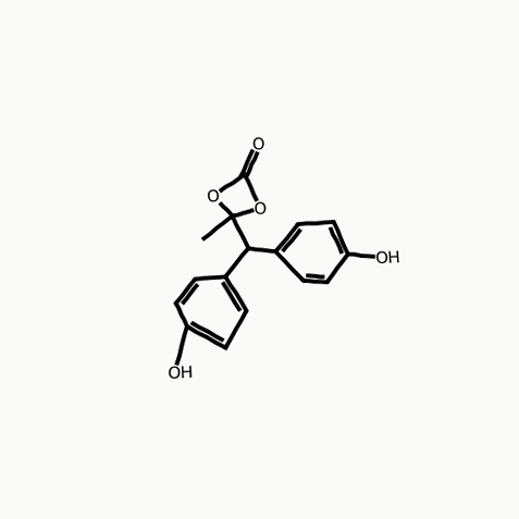 CC1(C(c2ccc(O)cc2)c2ccc(O)cc2)OC(=O)O1